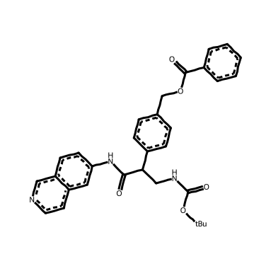 CC(C)(C)OC(=O)NCC(C(=O)Nc1ccc2cnccc2c1)c1ccc(COC(=O)c2ccccc2)cc1